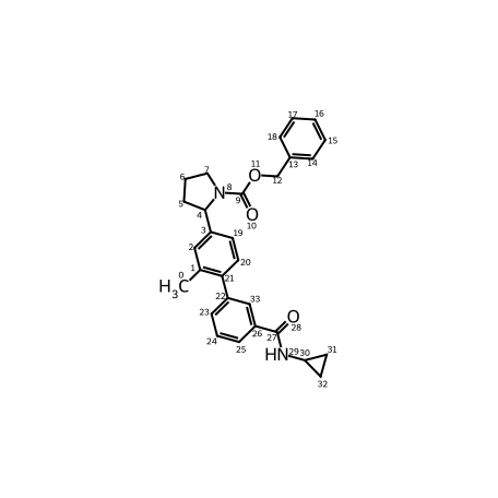 Cc1cc(C2CCCN2C(=O)OCc2ccccc2)ccc1-c1cccc(C(=O)NC2CC2)c1